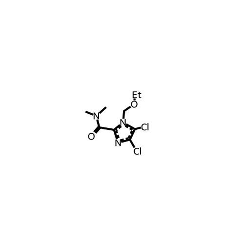 CCOCn1c(C(=O)N(C)C)nc(Cl)c1Cl